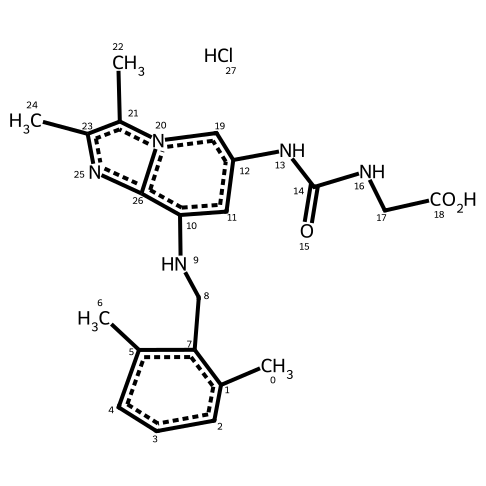 Cc1cccc(C)c1CNc1cc(NC(=O)NCC(=O)O)cn2c(C)c(C)nc12.Cl